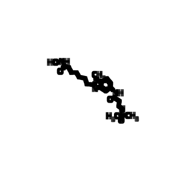 Cn1c(CCCCCCC(=O)NO)nc2cc(NC(=O)CCC[SH](C)(C)=O)ccc21